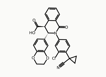 N#CC1(c2ccc(N3C(=O)c4ccccc4[C@H](C(=O)O)[C@H]3c3ccc4c(c3)OCCO4)cc2Cl)CC1